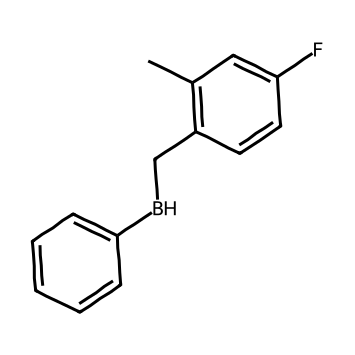 Cc1cc(F)ccc1CBc1ccccc1